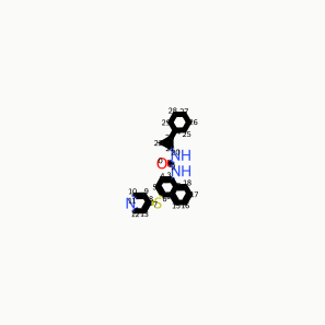 O=C(Nc1ccc(Sc2ccncc2)c2ccccc12)NC1CC1C1CCCCC1